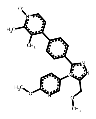 COCc1nnc(-c2ccc(-c3cc[n+]([O-])c(C)c3C)cc2)n1-c1ccc(OC)nc1